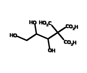 O=C(O)C(C(=O)O)(C(=O)O)C(O)C(O)CO